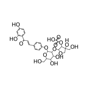 O=C(C=Cc1ccc(OC2OC(CO)C(O)C(O)C2OC2OCC(O)(CO)C2OS(=O)(=O)O)cc1)c1ccc(O)cc1O